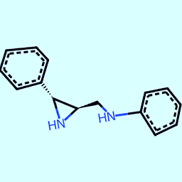 c1ccc(NC[C@H]2N[C@@H]2c2ccccc2)cc1